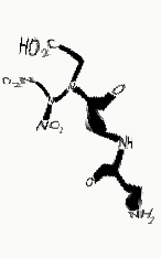 NCC(=O)NCC(=O)N(CC(=O)O)N([N+](=O)[O-])[N+](=O)[O-]